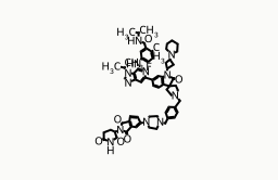 Cc1cc(F)c(Nc2nc(-c3ccc4c(c3)N(C3CC(N5CCCCC5)C3)C(=O)C43CCN(Cc4ccc(CN5CCN(c6ccc7c(c6)C(=O)N(C6CCC(=O)NC6=O)C7=O)CC5)cc4)CC3)cc3ncn(C(C)C)c23)cc1C(=O)NC(C)C